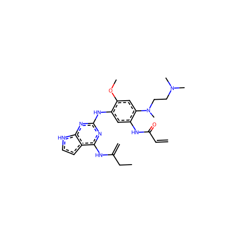 C=CC(=O)Nc1cc(Nc2nc(NC(=C)CC)c3cc[nH]c3n2)c(OC)cc1N(C)CCN(C)C